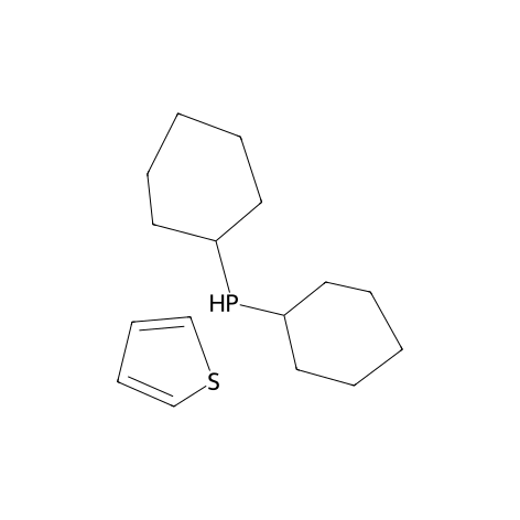 C1CCC(PC2CCCCC2)CC1.c1ccsc1